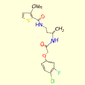 C=C(CCNC(=O)c1sccc1OC)NC(=O)COc1ccc(Cl)c(F)c1